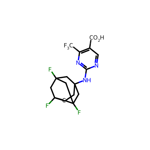 O=C(O)c1cnc(NC23CCC4(F)CC(F)(CC(F)(C4)C2)C3)nc1C(F)(F)F